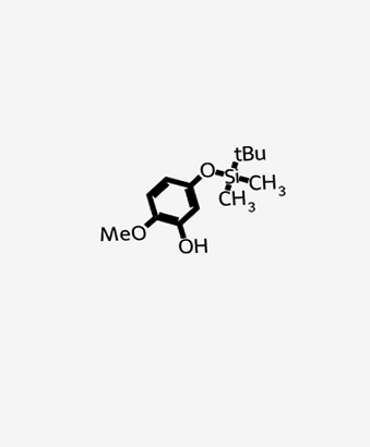 COc1ccc(O[Si](C)(C)C(C)(C)C)cc1O